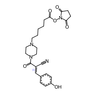 N#C/C(=C\c1ccc(O)cc1)C(=O)N1CCN(CCCCCC(=O)ON2C(=O)CCC2=O)CC1